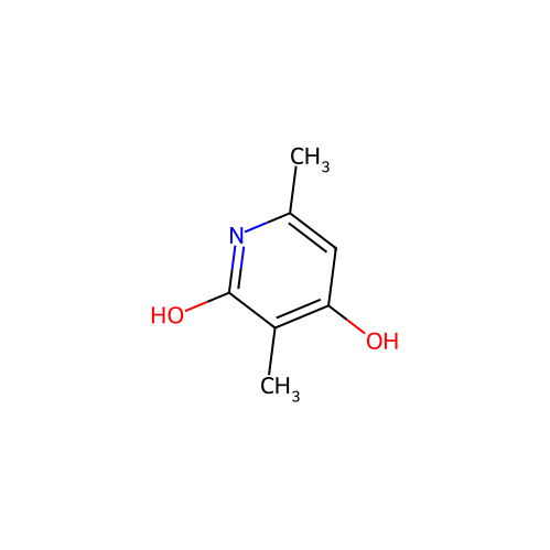 Cc1cc(O)c(C)c(O)n1